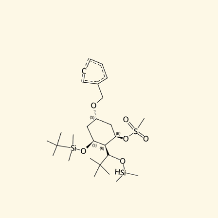 C[SiH](C)OC([C@H]1[C@@H](O[Si](C)(C)C(C)(C)C)C[C@H](OCc2ccccc2)C[C@H]1OS(C)(=O)=O)C(C)(C)C